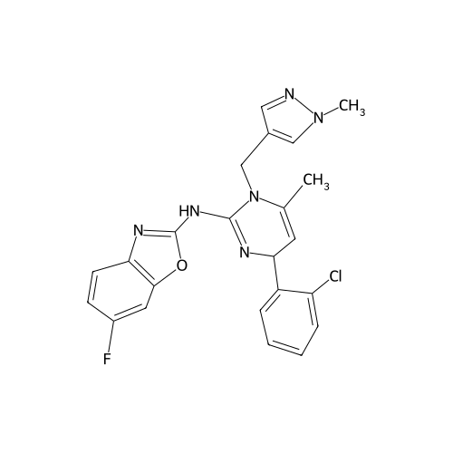 CC1=CC(c2ccccc2Cl)N=C(Nc2nc3ccc(F)cc3o2)N1Cc1cnn(C)c1